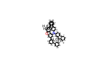 CC1(C)c2ccccc2-c2ccc(N(c3ccc4c(c3)C(C)(C)c3ccccc3-4)c3cc(-c4cccc(-c5ccccc5)c4)cc4oc5ccc(-c6ccccc6)cc5c34)cc21